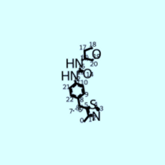 Cc1ncsc1[C@H](C)c1ccc(NC(=O)N[C@H]2CCOC2)cc1